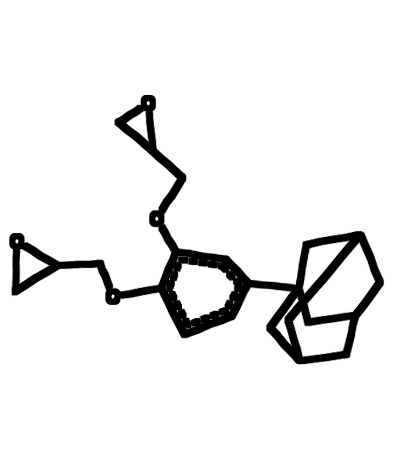 c1cc(OCC2CO2)c(OCC2CO2)cc1C12CC3CC(CC(C3)C1)C2